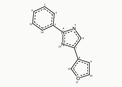 c1ccc(-n2ncc(-c3ccoc3)n2)cc1